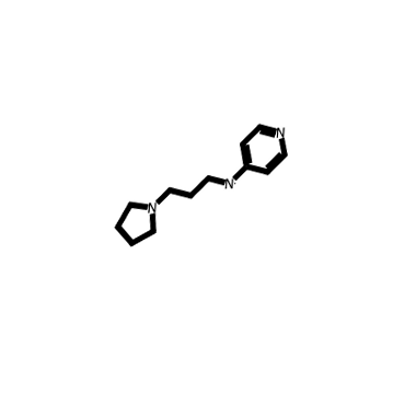 c1cc([N]CCCN2CCCC2)ccn1